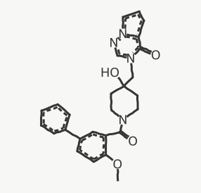 COc1ccc(-c2ccccc2)cc1C(=O)N1CCC(O)(Cn2cnn3cccc3c2=O)CC1